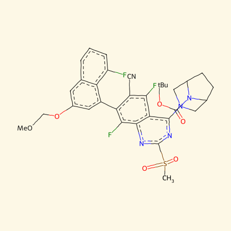 COCOc1cc(-c2c(C#N)c(F)c3c(N4CC5CCC(C4)N5C(=O)OC(C)(C)C)nc(S(C)(=O)=O)nc3c2F)c2c(F)cccc2c1